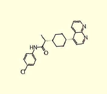 CC(C(=O)Nc1ccc(Cl)cc1)[C@H]1CC[C@@H](c2ccnc3ncccc32)CC1